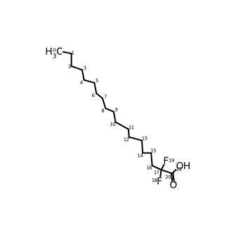 CCCCCCCCCCCCCCCCCC(F)(F)C(=O)O